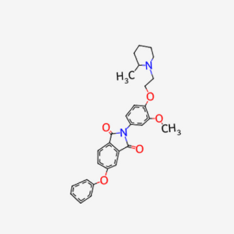 COc1cc(N2C(=O)c3ccc(Oc4ccccc4)cc3C2=O)ccc1OCCN1CCCCC1C